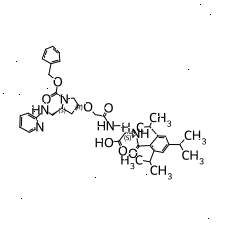 CC(C)c1cc(C(C)C)c(C(=O)N[C@@H](CNC(=O)CO[C@@H]2C[C@@H](CNc3ccccn3)N(C(=O)OCc3ccccc3)C2)C(=O)O)c(C(C)C)c1